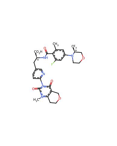 Cc1cc(N2CCOC[C@@H]2C(F)(F)F)cc(F)c1C(=O)N[C@@H](Cc1ccc(-n2c(=O)c3c(n(C)c2=O)CCOC3)nc1)C(=O)O